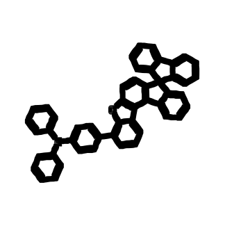 c1ccc(N(c2ccccc2)c2ccc(-c3cccc4c3oc3ccc5c(c34)-c3ccccc3C53c4ccccc4-c4ccccc43)cc2)cc1